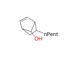 CCCCCC1CC2C=CC1C2O